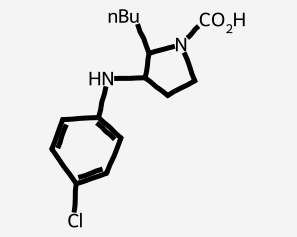 CCCCC1C(Nc2ccc(Cl)cc2)CCN1C(=O)O